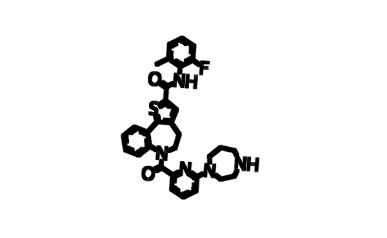 Cc1cccc(F)c1NC(=O)c1cc2c(s1)-c1ccccc1N(C(=O)c1cccc(N3CCCNCC3)n1)CC2